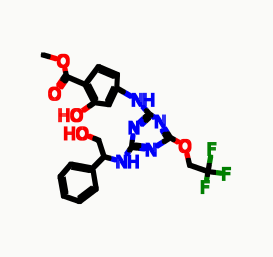 COC(=O)c1ccc(Nc2nc(NC(CO)c3ccccc3)nc(OCC(F)(F)F)n2)cc1O